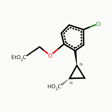 CCOC(=O)COc1ccc(Cl)cc1[C@H]1C[C@@H]1C(=O)O